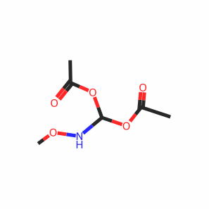 CONC(OC(C)=O)OC(C)=O